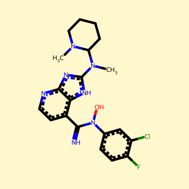 CN1CCCCC1N(C)c1nc2nccc(C(=N)N(O)c3ccc(F)c(Cl)c3)c2[nH]1